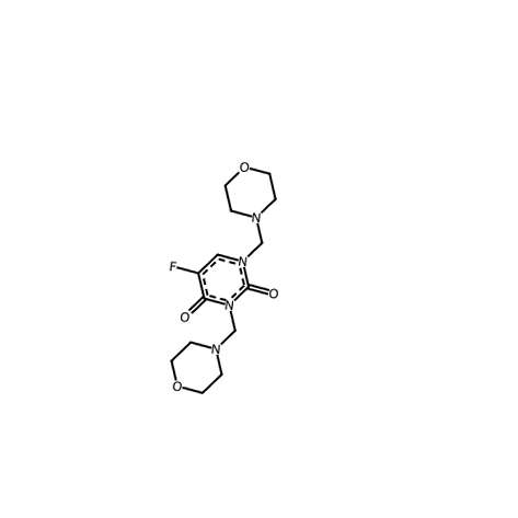 O=c1c(F)cn(CN2CCOCC2)c(=O)n1CN1CCOCC1